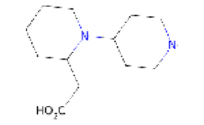 O=C(O)CC1CCCCN1C1CC[N]CC1